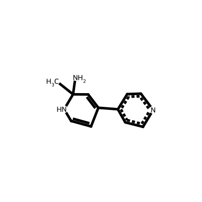 CC1(N)C=C(c2ccncc2)C=CN1